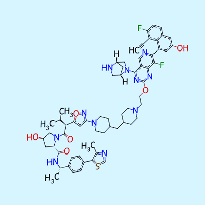 C#Cc1c(F)ccc2cc(O)cc(-c3ncc4c(N5C[C@@H]6C[C@H]5CN6)nc(OCCN5CCC(CC6CCN(c7cc([C@@H](C(=O)N8C[C@H](O)C[C@H]8C(=O)N[C@@H](C)c8ccc(-c9scnc9C)cc8)C(C)C)on7)CC6)CC5)nc4c3F)c12